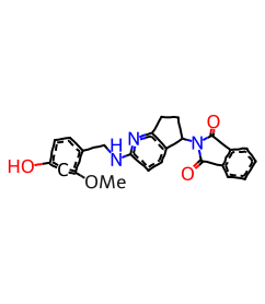 COc1cc(O)ccc1CNc1ccc2c(n1)CCC2N1C(=O)c2ccccc2C1=O